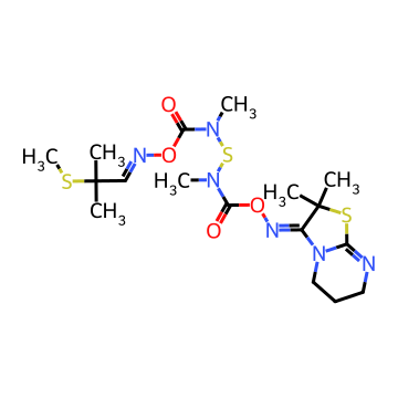 CSC(C)(C)C=NOC(=O)N(C)SN(C)C(=O)ON=C1N2CCCN=C2SC1(C)C